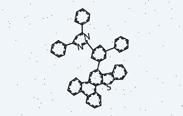 c1ccc(-c2cc(-c3nc(-c4ccccc4)cc(-c4ccccc4)n3)cc(-c3cc4c5ccccc5c5ccccc5c4c4sc5ccccc5c34)c2)cc1